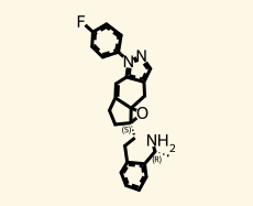 C[C@@H](N)c1ccccc1CC[C@]12CCC3=Cc4c(cnn4-c4ccc(F)cc4)CC31O2